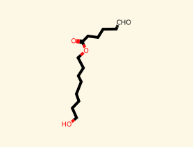 O=CCCCCC(=O)OCCCCCCCCO